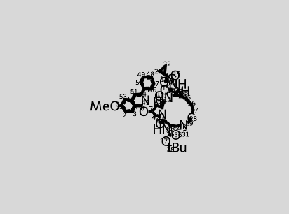 COc1ccc2c(OC3C[C@H]4C(=O)N[C@]5(C(=O)NS(=O)(=O)C6CC6)C[C@H]5/C=C\CCCN(C)C[C@H](NC(=O)OC(C)(C)C)C(=O)N4C3)nc(-c3ccccc3)cc2c1